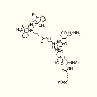 CCCCCCCCCCCCCC(=O)NCC(CC(=O)NC(CO)CC(=O)NC(CC(=O)NC(CCCCN)CC(=O)O)C(=O)NCCNC(=O)CCCCC[N+]1=C(/C=C/C=C2/N(CC)c3ccccc3C2(C)C)C(C)(C)c2ccccc21)NC(C)=O